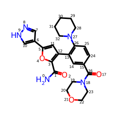 NC(=O)c1oc(-c2cn[nH]c2)cc1-c1cc(C(=O)N2CCOCC2)ccc1N1CCCCC1